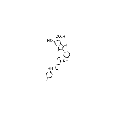 Cc1ccc(NC(=O)CCC(=O)Nc2cccc(-c3c(I)c4cc(C(=O)O)c(O)cc4n3C)c2)cc1